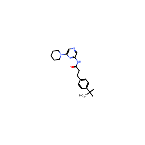 CC(C)(C(=O)O)c1ccc(CCC(=O)Nc2cncc(N3CCCCC3)n2)cc1